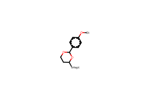 CCCCCCCC1CCOC(c2ccc(OCC)cc2)O1